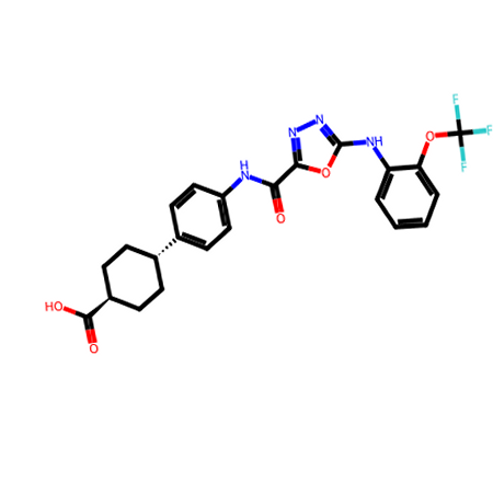 O=C(Nc1ccc([C@H]2CC[C@H](C(=O)O)CC2)cc1)c1nnc(Nc2ccccc2OC(F)(F)F)o1